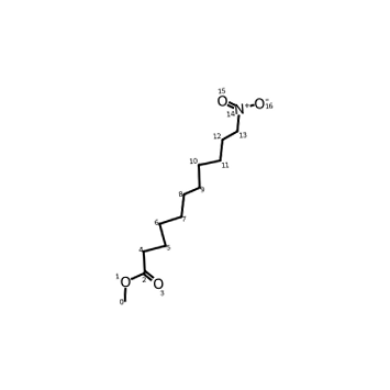 COC(=O)CCCCCCCCCC[N+](=O)[O-]